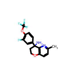 Cc1ccc2c(n1)[C@@](N)(c1ccc(OC(F)(F)F)c(F)c1)CCO2